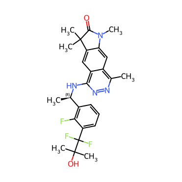 Cc1nnc(N[C@H](C)c2cccc(C(F)(F)C(C)(C)O)c2F)c2cc3c(cc12)N(C)C(=O)C3(C)C